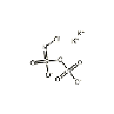 O=S(=O)([O-])OS(=O)([O-])=NCl.[K+].[K+]